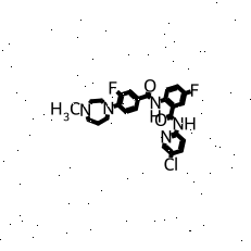 CN1CCCN(c2ccc(C(=O)Nc3ccc(F)cc3C(=O)Nc3ccc(Cl)cn3)cc2F)CC1